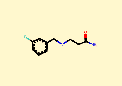 NC(=O)CCNCc1cccc(F)c1